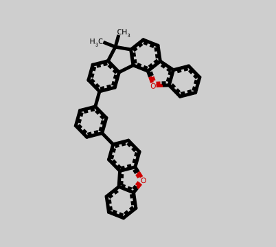 CC1(C)c2ccc(-c3cccc(-c4ccc5oc6ccccc6c5c4)c3)cc2-c2c1ccc1c2oc2ccccc21